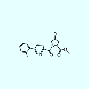 COC(=O)[C@@H]1CC(=O)CN1C(=O)c1ccc(-c2ccccc2C)cn1